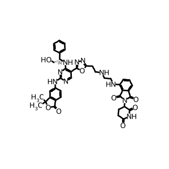 CC1(C)OC(=O)c2ccc(Nc3ncc(-c4nnc(CCNCCNc5cccc6c5C(=O)N(C5CCC(=O)NC5=O)C6=O)o4)c(N[C@H](CO)c4ccccc4)n3)cc21